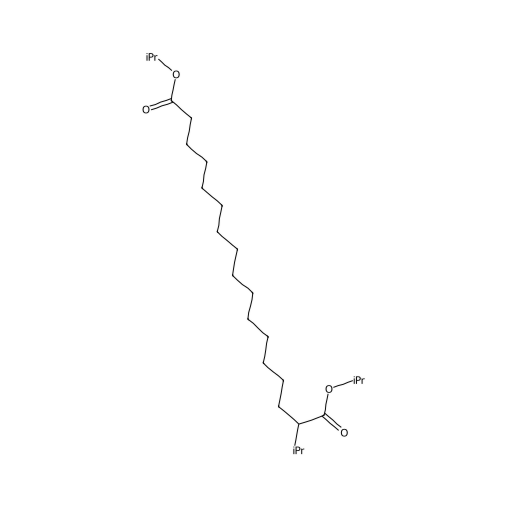 CC(C)OC(=O)CCCCCCCCCCCCCCC(C(=O)OC(C)C)C(C)C